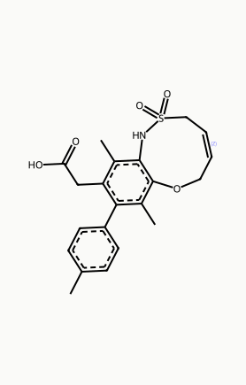 Cc1ccc(-c2c(C)c3c(c(C)c2CC(=O)O)NS(=O)(=O)C/C=C\CO3)cc1